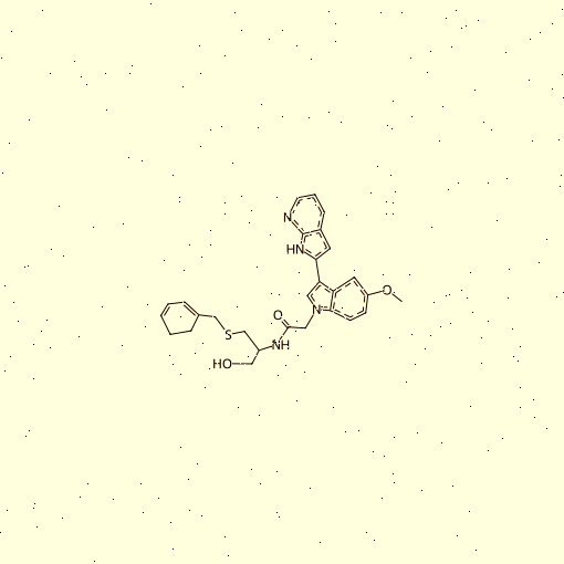 COc1ccc2c(c1)c(-c1cc3cccnc3[nH]1)cn2CC(=O)NC(CO)CSCC1=CC=CCC1